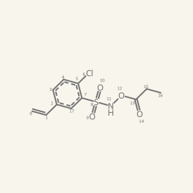 C=Cc1ccc(Cl)c(S(=O)(=O)NOC(=O)CC)c1